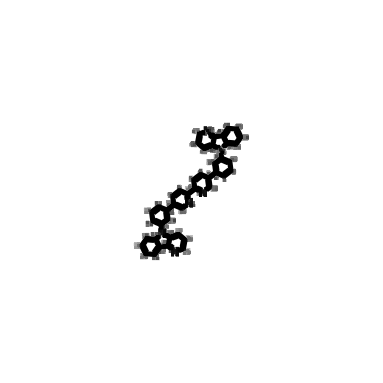 c1cc(-c2ccc(-c3ccc(-c4cccc(-n5c6ccccc6c6ncccc65)c4)cn3)nc2)cc(-n2c3ccccc3c3ncccc32)c1